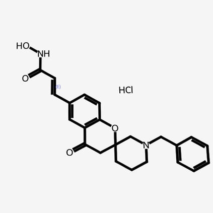 Cl.O=C(/C=C/c1ccc2c(c1)C(=O)CC1(CCCN(Cc3ccccc3)C1)O2)NO